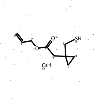 C=CCOC(=O)CC1(CS)CC1.[CsH]